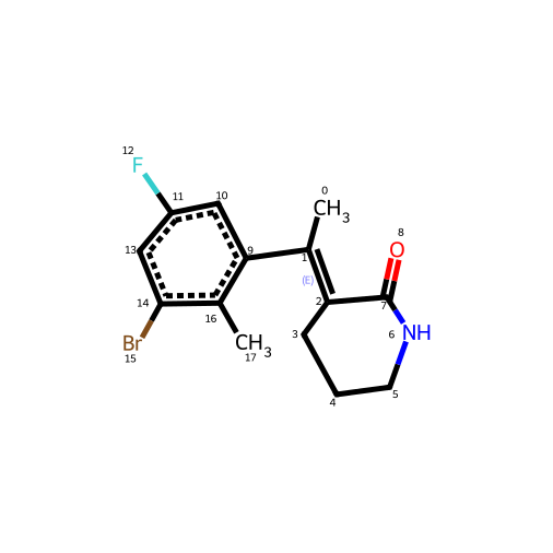 C/C(=C1/CCCNC1=O)c1cc(F)cc(Br)c1C